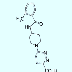 O=C(O)c1ccc(N2CCC(NC(=O)c3ccccc3C(F)(F)F)CC2)nn1